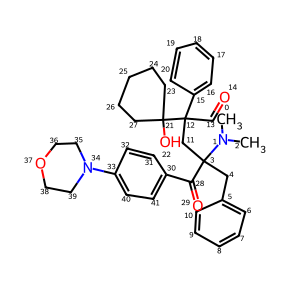 CN(C)C(Cc1ccccc1)(CC(C=O)(c1ccccc1)C1(O)CCCCC1)C(=O)c1ccc(N2CCOCC2)cc1